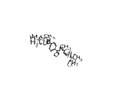 CC(C)N1CCC(N(C)C(=O)c2ccc(B3OC(C)(C)C(C)(C)O3)cc2)CC1